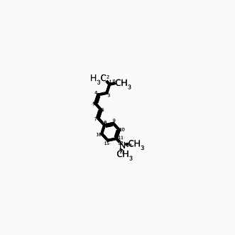 CC(C)C/C=C\C=C\C1=CC=C(N(C)C)CC1